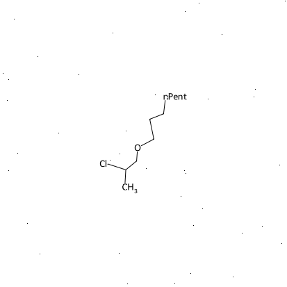 [CH2]CCCCCCCOCC(C)Cl